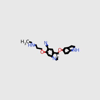 CCNCCCOc1cc2nccc(Oc3ccc4[nH]ccc4c3)c2cc1C#N